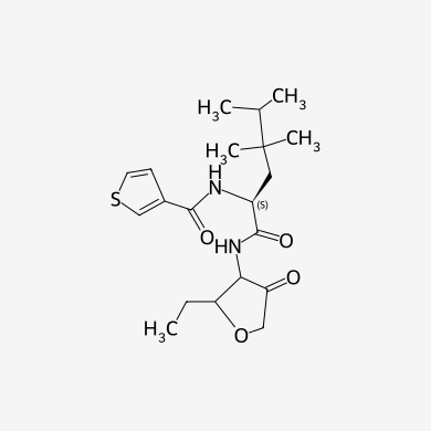 CCC1OCC(=O)C1NC(=O)[C@H](CC(C)(C)C(C)C)NC(=O)c1ccsc1